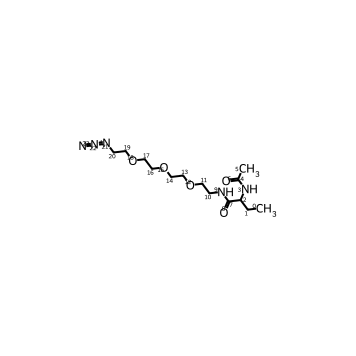 CCC(NC(C)=O)C(=O)NCCOCCOCCOCCN=[N+]=[N-]